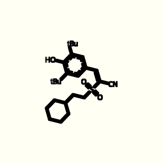 CC(C)(C)c1cc(/C=C(/C#N)S(=O)(=O)CCC2CCCCC2)cc(C(C)(C)C)c1O